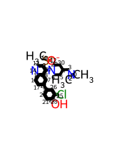 CN(C)CC1CCN(c2c([S+](C)[O-])cnc3ccc(-c4ccc(O)c(Cl)c4)cc23)CC1